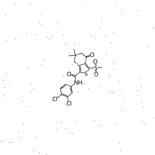 CC1(C)CC(=O)c2c(S(C)(=O)=O)sc(C(=O)Nc3ccc(Cl)c(Cl)c3)c2C1